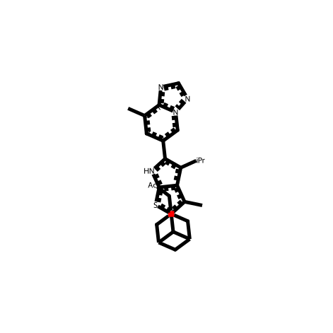 CC(=O)CN1CC2CC(C1)C2c1sc2[nH]c(-c3cc(C)c4ncnn4c3)c(C(C)C)c2c1C